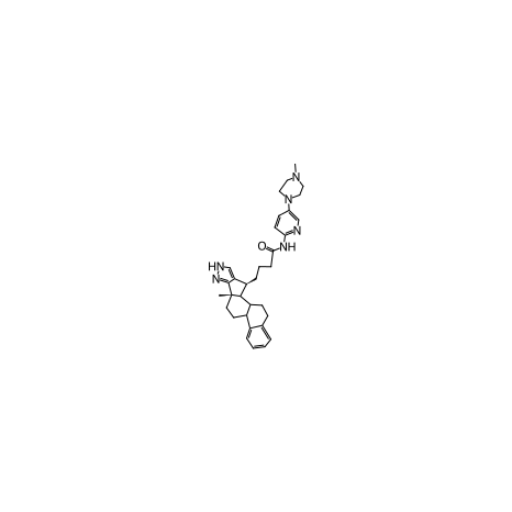 CN1CCN(c2ccc(NC(=O)CCC[C@@H]3c4c[nH]nc4[C@@]4(C)CCC5c6ccccc6CCC5C34)nc2)CC1